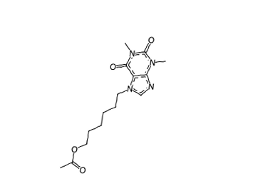 CC(=O)OCCCCCCn1cnc2c1c(=O)n(C)c(=O)n2C